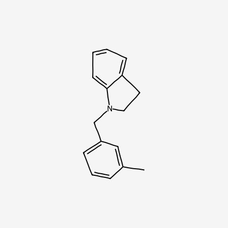 Cc1cccc(CN2CCc3ccccc32)c1